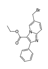 CCOC(=O)c1c(-c2ccccc2)nc2ccc(CBr)cn12